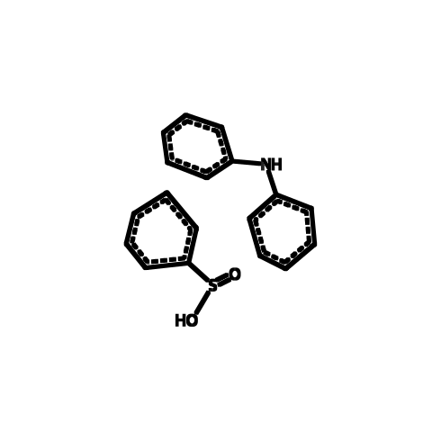 O=S(O)c1ccccc1.c1ccc(Nc2ccccc2)cc1